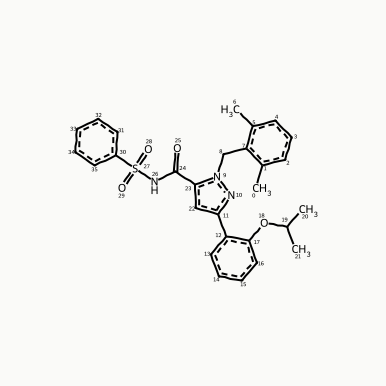 Cc1cccc(C)c1Cn1nc(-c2ccccc2OC(C)C)cc1C(=O)NS(=O)(=O)c1ccccc1